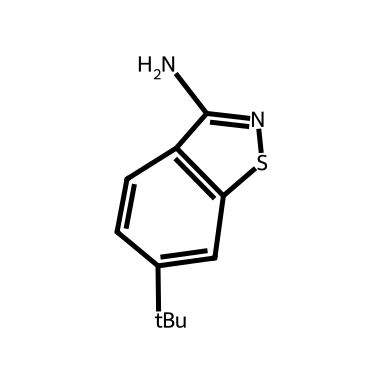 CC(C)(C)c1ccc2c(N)nsc2c1